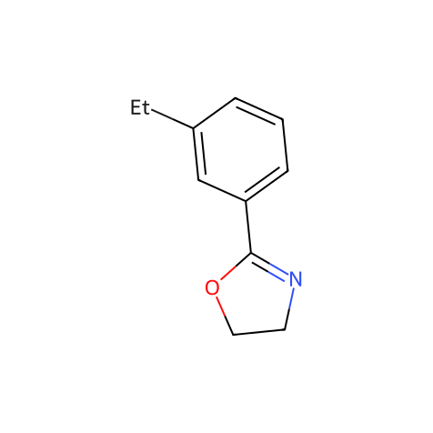 CCc1cccc(C2=NCCO2)c1